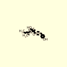 C=N/C(=C\C=C/C)c1nc(O)c2scc(C(=O)N3CCN(Cc4ccc(O)cc4)CC3)c2n1